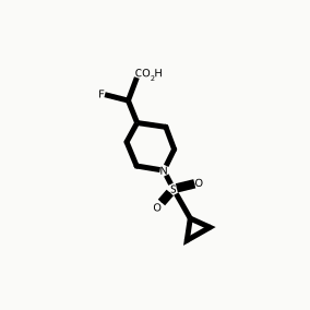 O=C(O)C(F)C1CCN(S(=O)(=O)C2CC2)CC1